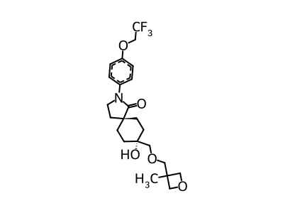 CC1(COC[C@]2(O)CC[C@]3(CCN(c4ccc(OCC(F)(F)F)cc4)C3=O)CC2)COC1